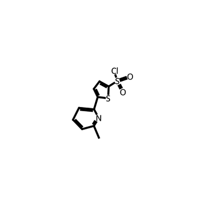 Cc1cccc(-c2ccc(S(=O)(=O)Cl)s2)n1